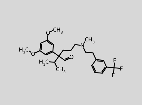 COc1cc(OC)cc(C(C=O)(CCCN(C)CCc2cccc(C(F)(F)F)c2)C(C)C)c1